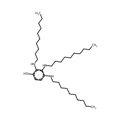 CCCCCCCCCCNc1ccc(O)c(NCCCCCCCCCC)c1NCCCCCCCCCC